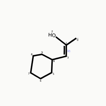 [CH2]/C(O)=C/C1CCCCC1